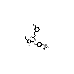 CCc1c[nH]c([C@H](Cc2ccc(N[SH](=O)=O)cc2)NC(=O)CCc2cccc(Cl)c2)n1